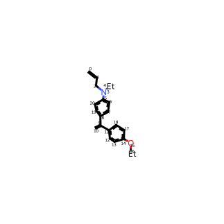 C=CCN(CC)c1ccc(C(=C)c2ccc(OCC)cc2)cc1